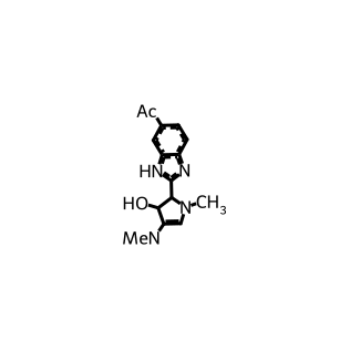 CNC1=CN(C)C(c2nc3ccc(C(C)=O)cc3[nH]2)C1O